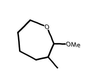 COC1OCCCCC1C